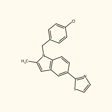 Cc1cc2cc(-c3nccs3)ccc2n1Cc1ccc(Cl)cc1